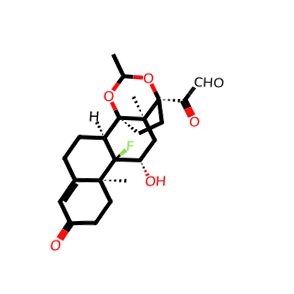 CC1O[C@@]2(C(=O)C=O)CC[C@@]3(O1)[C@@H]1CCC4=CC(=O)CC[C@]4(C)[C@@]1(F)[C@@H](O)C[C@]23C